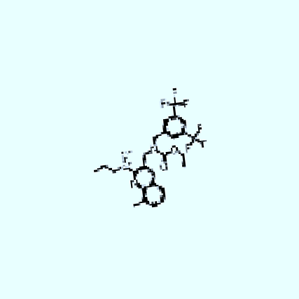 CCC[S+]([O-])c1nc2c(C)cccc2cc1CN(Cc1cc(C(F)(F)F)cc(C(F)(F)F)c1)C(=O)OCC